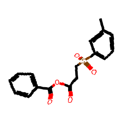 Cc1cccc(S(=O)(=O)CCC(=O)OC(=O)c2ccccc2)c1